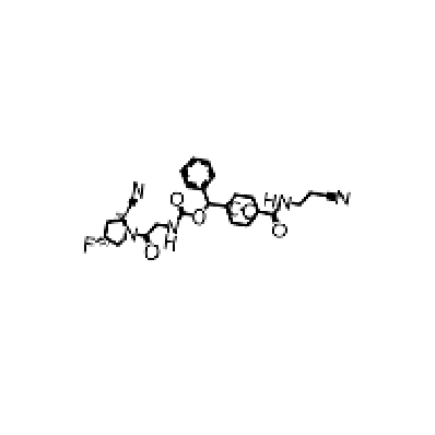 N#CCCNC(=O)C12CCC(C(OC(=O)NCC(=O)N3C[C@@H](F)C[C@H]3C#N)c3ccccc3)(CC1)CC2